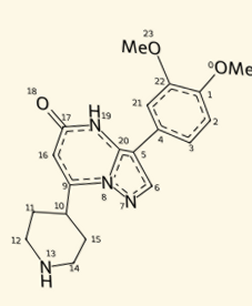 COc1ccc(-c2cnn3c(C4CCNCC4)cc(=O)[nH]c23)cc1OC